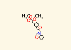 CCOC(Cc1ccc2oc(CN3CCOc4ccccc43)cc2c1)C(=O)OC